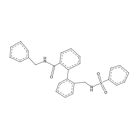 O=C(NCc1ccccc1)c1ccccc1-c1ccccc1CNS(=O)(=O)c1ccccc1